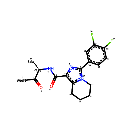 CNC(=O)[C@@H](NC(=O)c1nc(-c2ccc(F)c(F)c2)n2c1CCCC2)C(C)(C)C